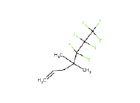 C=CCC(C)(C)C(F)(F)C(F)(F)C(F)(F)F